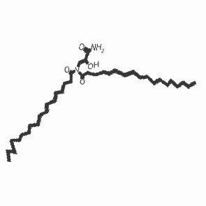 CCCCCCCCCCCCCCCCCC(=O)N(CC(O)C(N)=O)C(=O)CCCCCCCCCCCCCCCCC